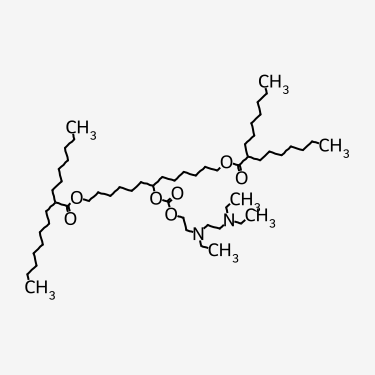 CCCCCCCCC(CCCCCCC)C(=O)OCCCCCCC(CCCCCCOC(=O)C(CCCCCCC)CCCCCCC)OC(=O)OCCN(CC)CCN(CC)CC